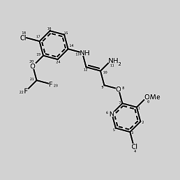 COc1cc(Cl)cnc1OC/C(N)=C/Nc1ccc(Cl)c(OC(F)F)c1